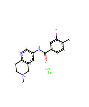 Cc1ccc(C(=O)Nc2cnc3c(c2)CN(C)CC3)cc1I.Cl.Cl